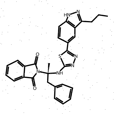 CCCc1n[nH]c2ccc(-c3nnc(N[C@](C)(Cc4ccccc4)N4C(=O)c5ccccc5C4=O)s3)cc12